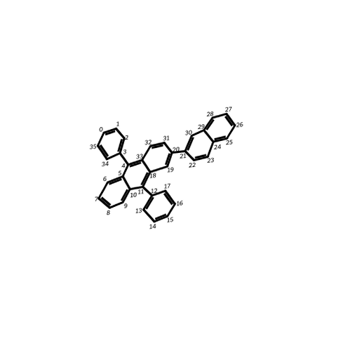 c1ccc(-c2c3ccccc3c(-c3ccccc3)c3cc(-c4ccc5ccccc5c4)ccc23)cc1